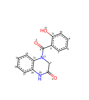 O=C1CN(C(=O)c2ccccc2O)c2ccccc2N1